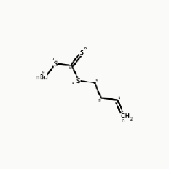 C=CCCSC(=S)SCCCC